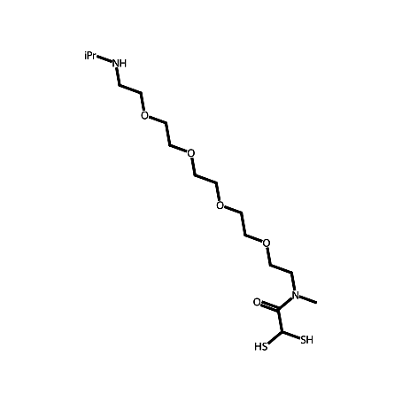 CC(C)NCCOCCOCCOCCOCCN(C)C(=O)C(S)S